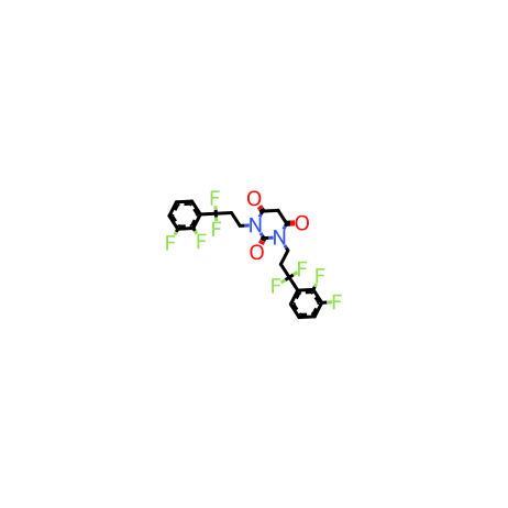 O=C1CC(=O)N(CCC(F)(F)c2cccc(F)c2F)C(=O)N1CCC(F)(F)c1cccc(F)c1F